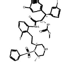 COC(=O)N[C@H](C(=O)Nc1cccc(F)c1CC[C@H]1CNC[C@H](C)N1S(=O)(=O)c1ccccc1)[C@H](c1cccc(F)c1)c1cccc(Cl)c1